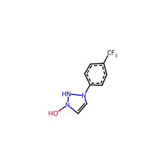 ON1C=CN(c2ccc(C(F)(F)F)cc2)N1